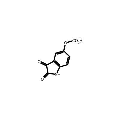 O=C(O)Oc1ccc2c(c1)C(=O)C(=O)N2